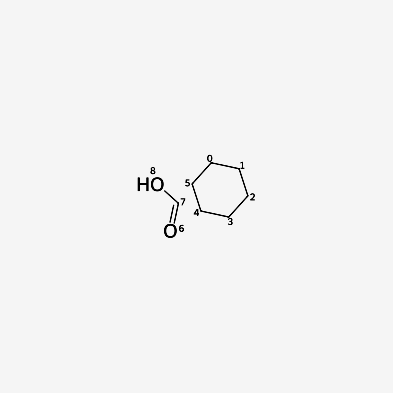 C1CCCCC1.O=CO